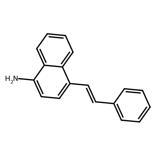 Nc1ccc(/C=C/c2ccccc2)c2ccccc12